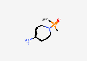 COP(C)(=O)N1CCC(N)CC1